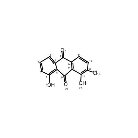 O=C1c2cccc(O)c2C(=O)c2c1ccc(Cl)c2O